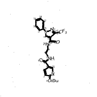 CC(C)COc1ccc(C(=O)NCCNC(=O)c2cn(-c3ccccc3)nc2C(F)(F)F)cn1